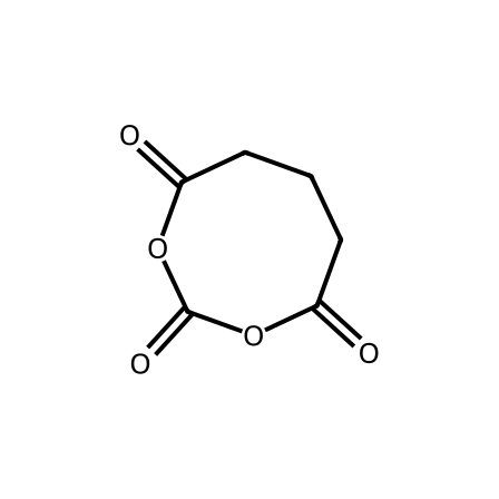 O=C1CCCC(=O)OC(=O)O1